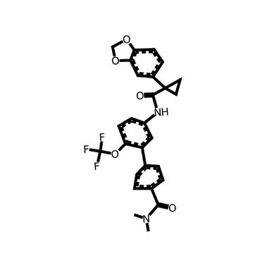 CN(C)C(=O)c1ccc(-c2cc(NC(=O)C3(c4ccc5c(c4)OCO5)CC3)ccc2OC(F)(F)F)cc1